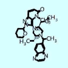 CC[C@@H]1CN(c2c3c(ccc(=O)n3C)nn2C2CCCCO2)[C@@H](COC)CN1C(C)c1ccc2nccnc2c1